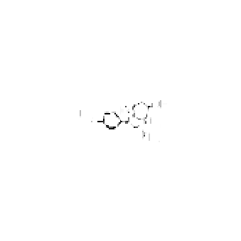 COc1ccc([C@H](CN(C)C)[Si]2(O)CCC(O)CC2)cc1